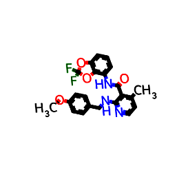 COc1ccc(CNc2nccc(C)c2C(=O)Nc2cccc3c2OC(F)(F)O3)cc1